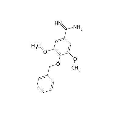 COc1cc(C(=N)N)cc(OC)c1OCc1ccccc1